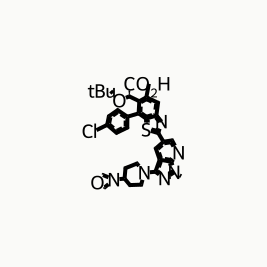 Cc1cc2nc(-c3cnc4c(c3)c(N3CCC(N5COC5)CC3)nn4C)sc2c(-c2ccc(Cl)cc2)c1[C@H](OC(C)(C)C)C(=O)O